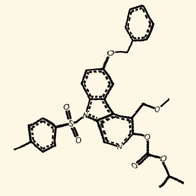 COCc1c(OC(=O)OC(C)C)ncc2c1c1cc(OCc3ccccc3)ccc1n2S(=O)(=O)c1ccc(C)cc1